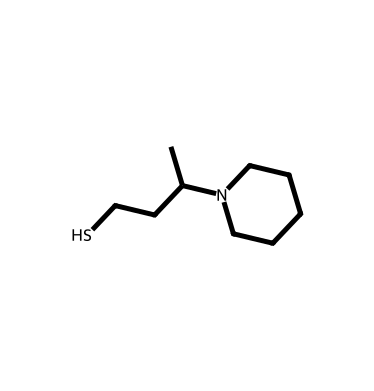 CC(CCS)N1CCCCC1